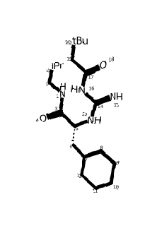 CC(C)CNC(=O)[C@@H](CC1CCCCC1)NC(=N)NC(=O)CC(C)(C)C